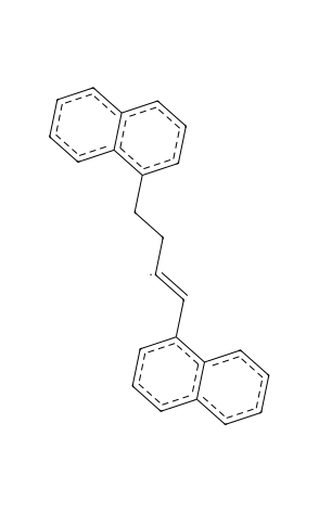 [C](=Cc1cccc2ccccc12)CCc1cccc2ccccc12